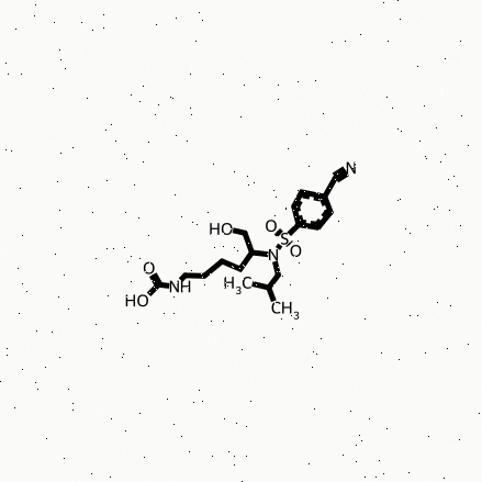 CC(C)CN(C(CO)CCCCNC(=O)O)S(=O)(=O)c1ccc(C#N)cc1